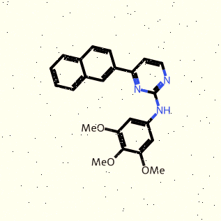 COc1cc(Nc2nccc(-c3ccc4ccccc4c3)n2)cc(OC)c1OC